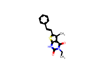 CCn1c(=O)[nH]c2sc(C=Cc3ccccc3)c(C)c2c1=O